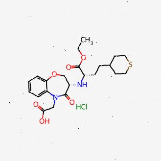 CCOC(=O)[C@H](CCC1CCSCC1)N[C@H]1COc2ccccc2N(CC(=O)O)C1=O.Cl